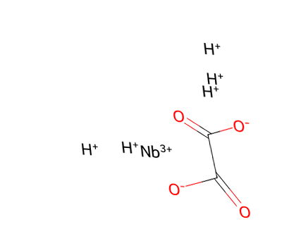 O=C([O-])C(=O)[O-].[H+].[H+].[H+].[H+].[H+].[Nb+3]